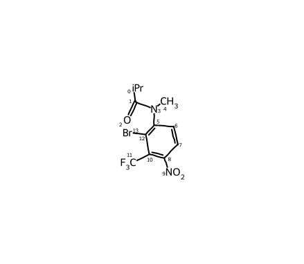 CC(C)C(=O)N(C)c1ccc([N+](=O)[O-])c(C(F)(F)F)c1Br